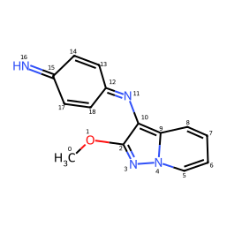 COc1nn2ccccc2c1N=C1C=CC(=N)C=C1